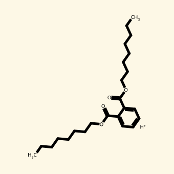 CCCCCCCCOC(=O)c1ccccc1C(=O)OCCCCCCCC.[H+]